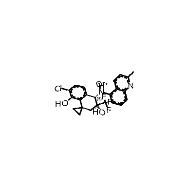 Cc1ccc2c([NH+]([O-])[C@H]3c4ccc(Cl)c(O)c4C4(CC4)C[C@@]3(O)C(F)(F)F)cccc2n1